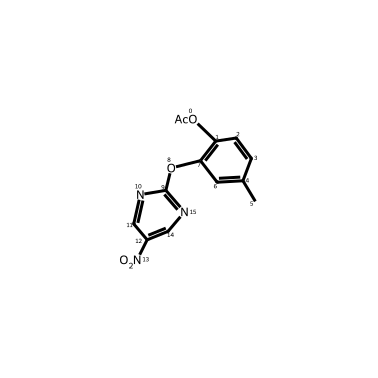 CC(=O)Oc1ccc(C)cc1Oc1ncc([N+](=O)[O-])cn1